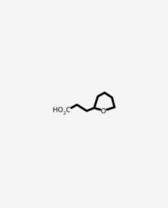 O=C(O)CCC1CCCCO1